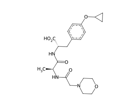 C[C@H](NC(=O)CN1CCOCC1)C(=O)N[C@@H](Cc1ccc(OC2CC2)cc1)C(=O)O